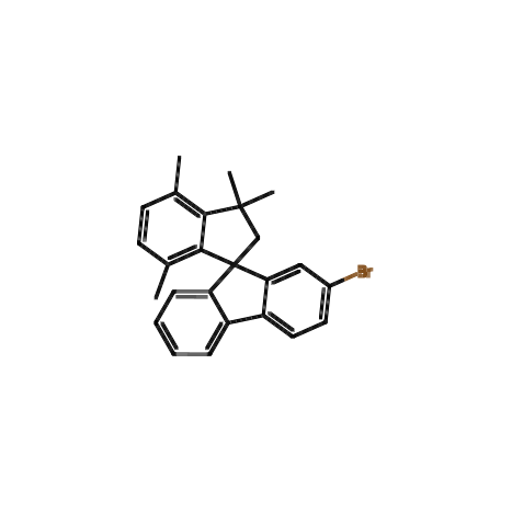 Cc1ccc(C)c2c1C(C)(C)CC21c2ccccc2-c2ccc(Br)cc21